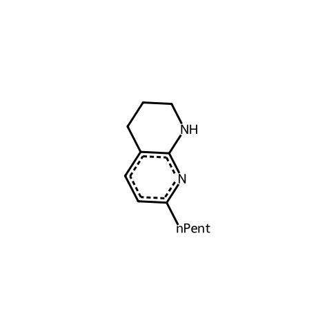 CCCCCc1ccc2c(n1)NCCC2